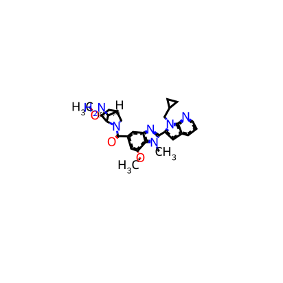 COc1cc(C(=O)N2C[C@H]3C[C@H](OC)C2C3N)cc2nc(-c3cc4cccnc4n3CC3CC3)n(C)c12